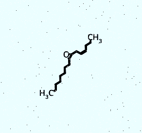 CCC/C=C\CC1OC1CCCCCCCC